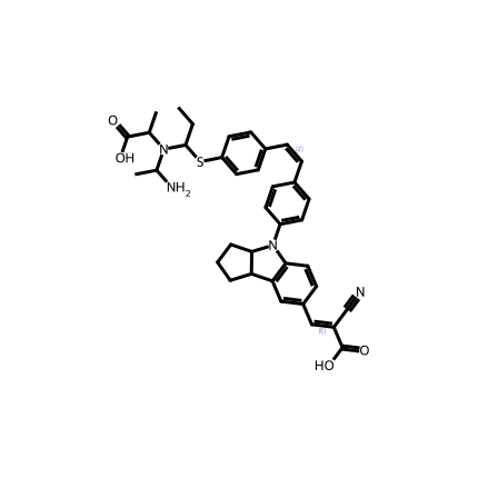 CCC(Sc1ccc(/C=C\c2ccc(N3c4ccc(/C=C(\C#N)C(=O)O)cc4C4CCCC43)cc2)cc1)N(C(C)N)C(C)C(=O)O